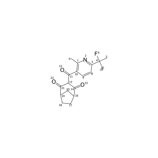 Cc1nc(C(C)(F)F)ccc1C(=O)C1C(=O)C2CCC(C2)C1=O